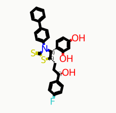 Oc1ccc([C@@H]2[C@H](CC[C@H](O)c3ccc(F)cc3)SC(=S)N2c2ccc(-c3ccccc3)cc2)c(O)c1